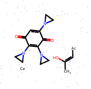 CC(=O)/C=C(/C)O.O=C1C=C(N2CC2)C(=O)C(N2CC2)=C1N1CC1.[Ce]